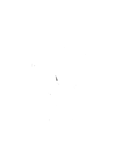 Cl.O=c1ccc2c(C(F)(F)F)n(C3CCOCC3)n([C@]3(c4c(F)ccc(Cl)c4Cl)CCNC3)c-2c1